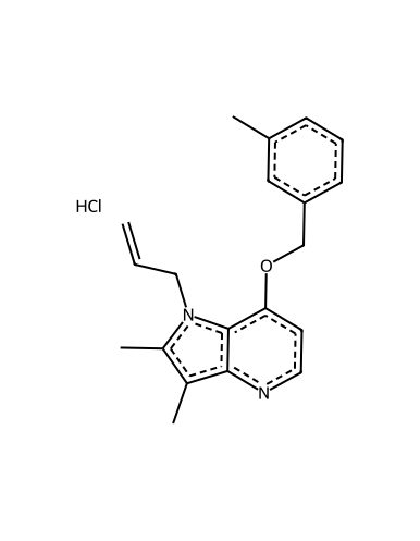 C=CCn1c(C)c(C)c2nccc(OCc3cccc(C)c3)c21.Cl